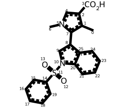 Cc1c(C(=O)O)cn(C)c1-c1cn(S(=O)(=O)c2ccccc2)c2ccccc12